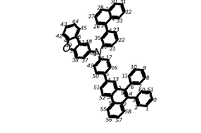 c1ccc(-c2c(-c3ccccc3)c3cc(-c4ccc(N(c5cccc(-c6cccc7ccccc67)c5)c5ccc6oc7ccccc7c6c5)cc4)ccc3c3ccccc23)cc1